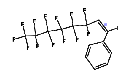 FC(F)(F)C(F)(F)C(F)(F)C(F)(F)C(F)(F)C(F)(F)/C=C(/I)c1ccccc1